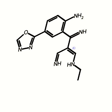 CCN/C=C(\C=N)C(=N)c1cc(-c2nnco2)ccc1N